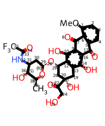 COc1cccc2c1C(=O)c1c(O)c3c(c(O)c1C2=O)C[C@@](O)(C(=O)CO)C[C@@H]3O[C@H]1CC(NC(=O)C(F)(F)F)[C@H](O)[C@H](C)O1